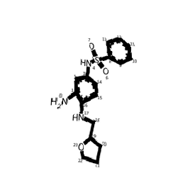 Nc1cc(NS(=O)(=O)c2ccccc2)ccc1NCC1CCCO1